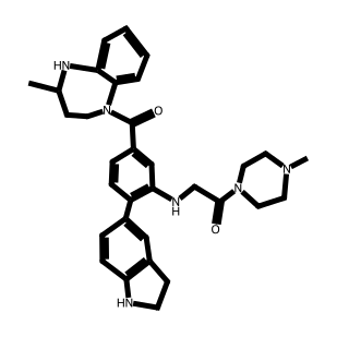 CC1CCN(C(=O)c2ccc(-c3ccc4c(c3)CCN4)c(NCC(=O)N3CCN(C)CC3)c2)c2ccccc2N1